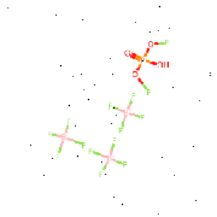 F[B-](F)(F)F.F[B-](F)(F)F.F[B-](F)(F)F.O=P(O)(OF)OF